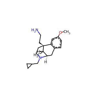 COc1ccc2c(c1)[C@@]1(CCN)CCN(CC3CC3)[C@H](C2)[C@@H]1C